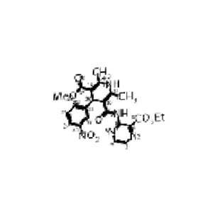 CCOC(=O)c1nccnc1NC(=O)C1=C(C)NC(C)=C(C(=O)OC)C1c1cccc([N+](=O)[O-])c1